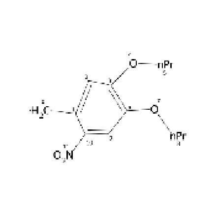 [CH2]c1cc(OCCC)c(OCCC)cc1[N+](=O)[O-]